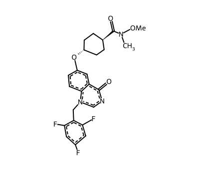 CON(C)C(=O)[C@H]1CC[C@H](Oc2ccc3c(c2)c(=O)ncn3Cc2c(F)cc(F)cc2F)CC1